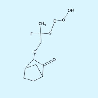 CC(F)(COC1C(=O)C2CCC1C2)SOOO